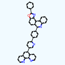 c1ccc(-c2nc3c(ccc4c(-c5ccc(-c6ccc(-c7cc8cccnc8c8ncccc78)cn6)cc5)nc5ccccc5c43)o2)cc1